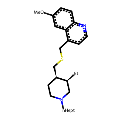 CCCCCCCN1CC[C@@H](CSCc2ccnc3ccc(OC)cc23)[C@@H](CC)C1